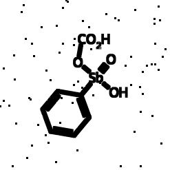 O=C(O)[O][Sb](=[O])([OH])[c]1ccccc1